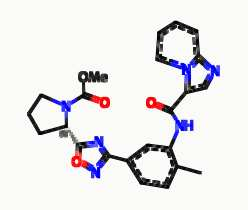 COC(=O)N1CCC[C@H]1c1nc(-c2ccc(C)c(NC(=O)c3cnc4ccccn34)c2)no1